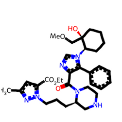 CCOC(=O)c1cc(C)nn1CCC[C@@H]1CNCCN1C(=O)c1ncn([C@@H]2CCCC[C@@]2(O)COC)c1-c1ccccc1